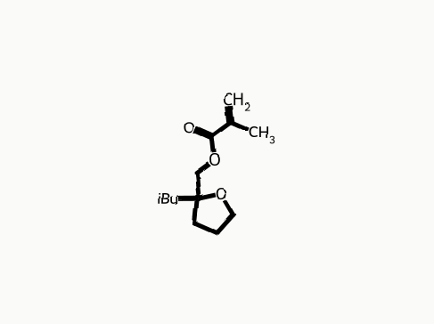 C=C(C)C(=O)OCC1(C(C)CC)CCCO1